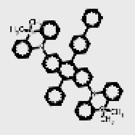 C[Si]1(C)c2ccccc2N(c2ccc3c(-c4ccc(-c5ccccc5)cc4)c4cc(N5c6ccccc6[Si](C)(C)c6ccccc65)ccc4c(-c4ccccc4)c3c2)c2ccccc21